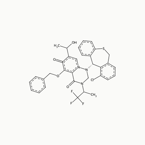 CC(O)c1cn2c(c(OCc3ccccc3)c1=O)C(=O)N(C(C)C(F)(F)F)CN2[C@@H]1c2ccccc2SCc2cccc(Cl)c21